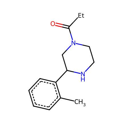 CCC(=O)N1CCNC(c2ccccc2C)C1